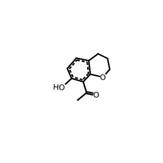 CC(=O)c1c(O)ccc2c1OCCC2